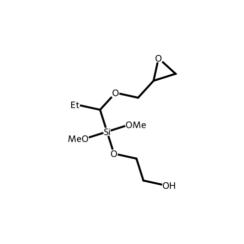 CCC(OCC1CO1)[Si](OC)(OC)OCCO